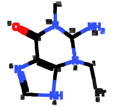 CC(C)CN1c2[nH]cnc2C(=O)N(C)C1N